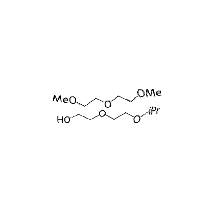 CC(C)OCCOCCO.COCCOCCOC